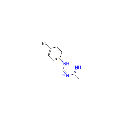 CCc1ccc(N/C=N\C(C)=N)cc1